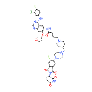 O=C(/C=C/CN1CCC(CN2CCN(c3cc4c(cc3F)C(=O)N(C3CCC(=O)NC3=O)C4=O)CC2)CC1)Nc1cc2c(Nc3ccc(F)c(Cl)c3)ncnc2cc1O[C@H]1CCOC1